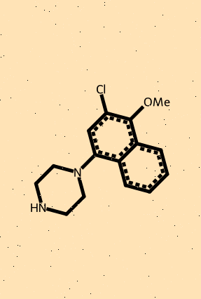 COc1c(Cl)cc(N2CCNCC2)c2ccccc12